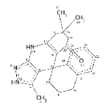 Cc1[nH]nc2c1C1(CCCc3ccccc31)C1=C(CC(C)(C)CC1=O)N2